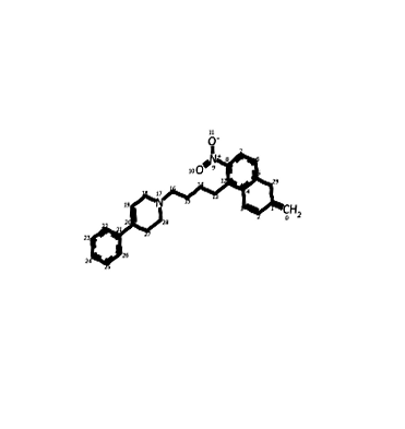 C=C1C=Cc2c(ccc([N+](=O)[O-])c2CCCCN2CC=C(c3ccccc3)CC2)C1